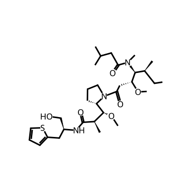 CC[C@H](C)[C@@H]([C@@H](CC(=O)N1CCC[C@H]1[C@H](OC)[C@@H](C)C(=O)N[C@H](CO)Cc1cccs1)OC)N(C)C(=O)CC(C)C